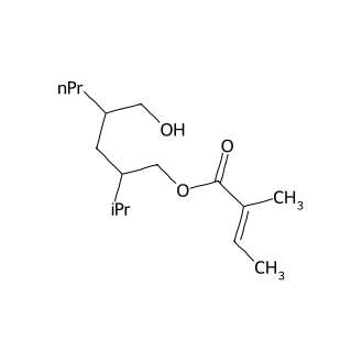 CC=C(C)C(=O)OCC(CC(CO)CCC)C(C)C